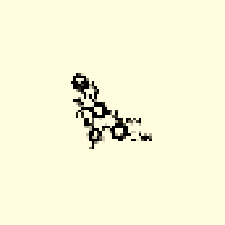 COCOc1cc(Nc2cc(C)nn2Cc2ccc(OC)cc2)c(C(=O)N(C)Cc2ccccc2)c(OCOC)c1